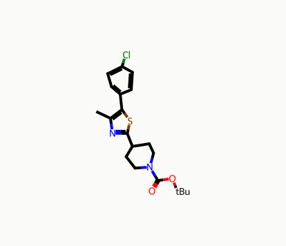 Cc1nc(C2CCN(C(=O)OC(C)(C)C)CC2)sc1-c1ccc(Cl)cc1